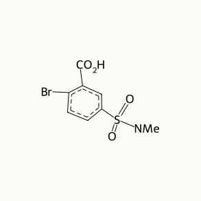 CNS(=O)(=O)c1ccc(Br)c(C(=O)O)c1